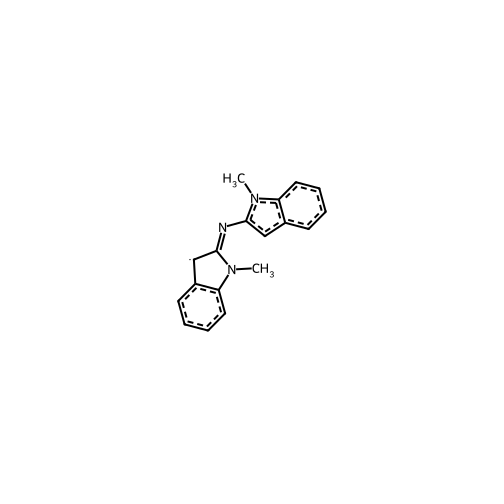 CN1C(=Nc2cc3ccccc3n2C)[CH]c2ccccc21